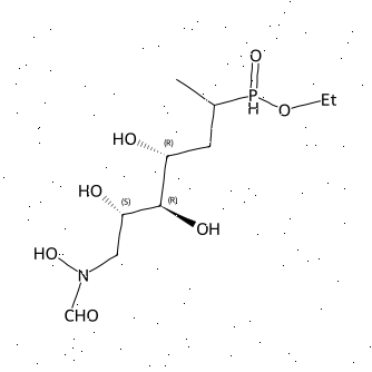 CCO[PH](=O)C(C)C[C@@H](O)[C@@H](O)[C@@H](O)CN(O)C=O